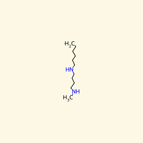 [CH2]CCCCCNCCCCNC